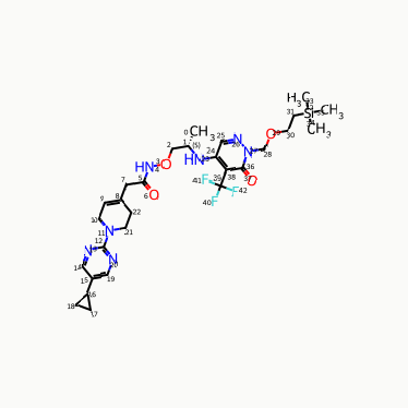 C[C@@H](CONC(=O)CC1=CCN(c2ncc(C3CC3)cn2)CC1)Nc1cnn(COCC[Si](C)(C)C)c(=O)c1C(F)(F)F